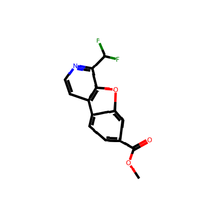 COC(=O)c1ccc2c(c1)oc1c(C(F)F)nccc12